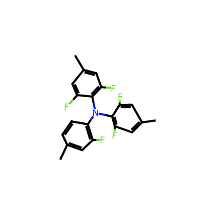 Cc1ccc(N(c2c(F)cc(C)cc2F)c2c(F)cc(C)cc2F)c(F)c1